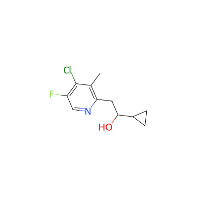 Cc1c(CC(O)C2CC2)ncc(F)c1Cl